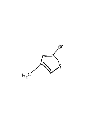 [CH2]c1csc(Br)c1